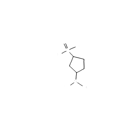 O=CN(O)C1CCC(P(=O)(O)O)C1